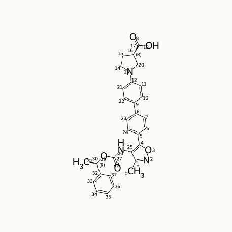 Cc1noc(-c2ccc(-c3ccc(N4CC[C@@H](C(=O)O)C4)cc3)cc2)c1NC(=O)O[C@H](C)c1ccccc1